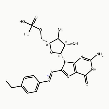 CCc1ccc(/N=N/c2nc3c(=O)[nH]c(N)nc3n2[C@@H]2O[C@H](COP(=O)(O)O)C(O)[C@@H]2O)cc1